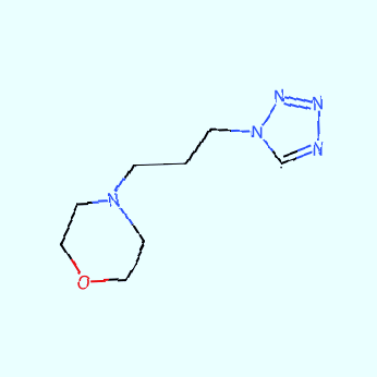 [c]1nnnn1CCCN1CCOCC1